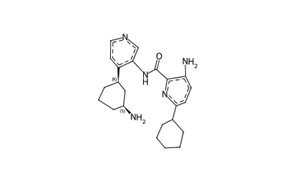 Nc1ccc(C2CCCCC2)nc1C(=O)Nc1cnccc1[C@@H]1CCC[C@H](N)C1